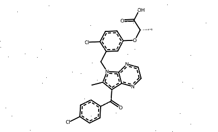 Cc1c(C(=O)c2ccc(Cl)cc2)c2nccnc2n1Cc1cc(O[C@@H](C)C(=O)O)ccc1Cl